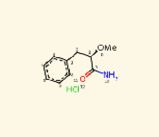 CO[C@H](Cc1ccccc1)C(N)=O.Cl